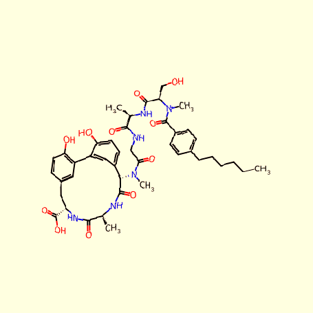 CCCCCCc1ccc(C(=O)N(C)[C@H](CO)C(=O)N[C@H](C)C(=O)NCC(=O)N(C)[C@@H]2C(=O)N[C@@H](C)C(=O)N[C@H](C(=O)O)Cc3ccc(O)c(c3)-c3cc2ccc3O)cc1